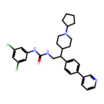 O=C(NCC(c1ccc(-c2cccnc2)cc1)C1CCN(C2CCCC2)CC1)Nc1cc(Cl)cc(Cl)c1